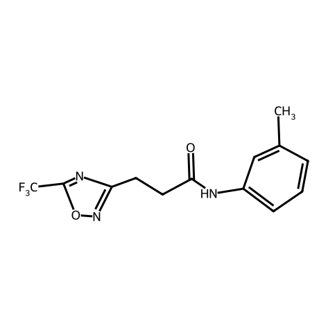 Cc1cccc(NC(=O)CCc2noc(C(F)(F)F)n2)c1